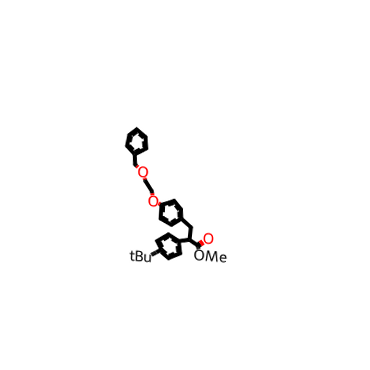 COC(=O)C(Cc1ccc(OCCOCc2ccccc2)cc1)c1ccc(C(C)(C)C)cc1